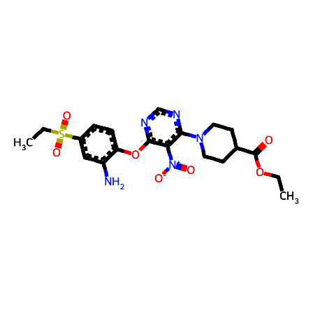 CCOC(=O)C1CCN(c2ncnc(Oc3ccc(S(=O)(=O)CC)cc3N)c2[N+](=O)[O-])CC1